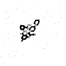 Cc1cc([C@@H](C)Nc2ccccc2C(=O)O)c2nc(N3CCC(N4CCCCC4)CC3)c(C#N)nc2c1